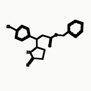 O=C1CCC(C(CC(=O)OCc2ccccc2)c2ccc(Cl)cc2)N1